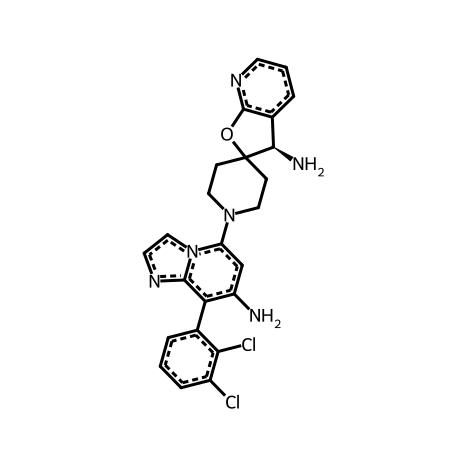 Nc1cc(N2CCC3(CC2)Oc2ncccc2[C@H]3N)n2ccnc2c1-c1cccc(Cl)c1Cl